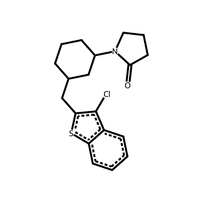 O=C1CCCN1C1CCCC(Cc2sc3ccccc3c2Cl)C1